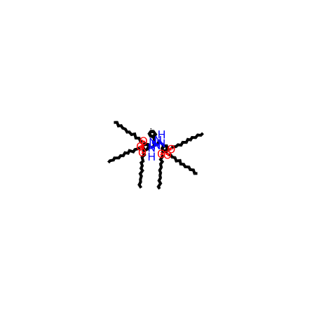 CCCCCCCCCCCCCOc1cc(Nc2nc(Nc3cc(OCCCCCCCCCCCCC)c(OCCCCCCCCCCCCC)c(OCCCCCCCCCCCCC)c3)nc(-c3cc[c]cc3)n2)cc(OCCCCCCCCCCCCC)c1OCCCCCCCCCCCCC